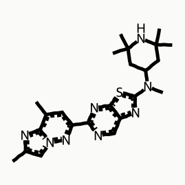 Cc1cn2nc(-c3ncc4nc(N(C)C5CC(C)(C)NC(C)(C)C5)sc4n3)cc(C)c2n1